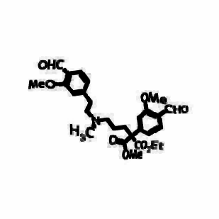 CCOC(=O)C(CCCN(C)CCc1ccc(C=O)c(OC)c1)(C(=O)OC)c1ccc(C=O)c(OC)c1